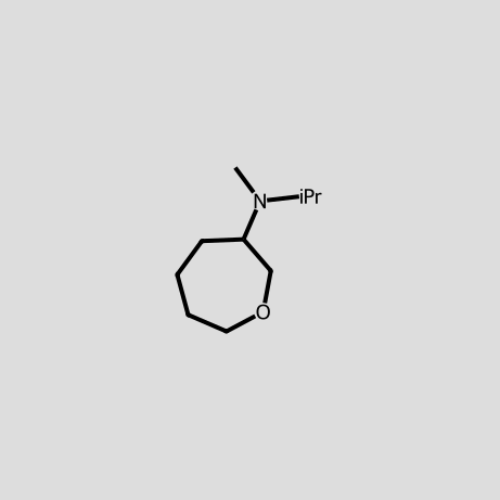 CC(C)N(C)C1CCCCOC1